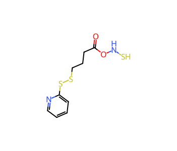 O=C(CCCSSc1ccccn1)ONS